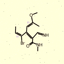 C/C=C(/Br)C(/C=C(\C)OC)=C(C=N)C(=O)NC